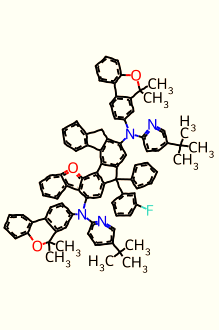 CC(C)(C)c1ccc(N(c2ccc3c(c2)C(C)(C)Oc2ccccc2-3)c2cc3c(c4c2Cc2ccccc2-4)-c2c(cc(N(c4ccc5c(c4)C(C)(C)Oc4ccccc4-5)c4ccc(C(C)(C)C)cn4)c4c2oc2ccccc24)C3(c2ccccc2)c2cccc(F)c2)nc1